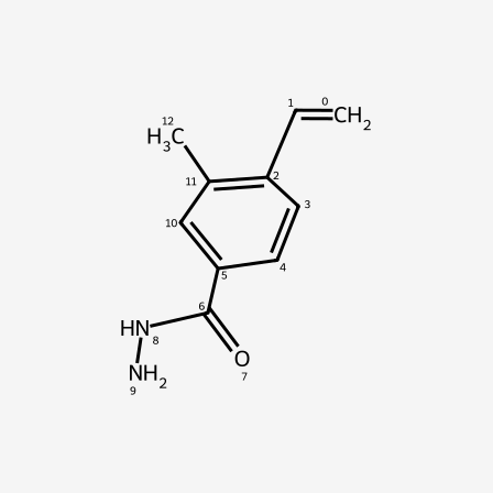 C=Cc1ccc(C(=O)NN)cc1C